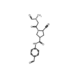 CN(C=O)CC(=O)N1CC(C(=O)Nc2ccc(C=O)cc2)CC1C#N